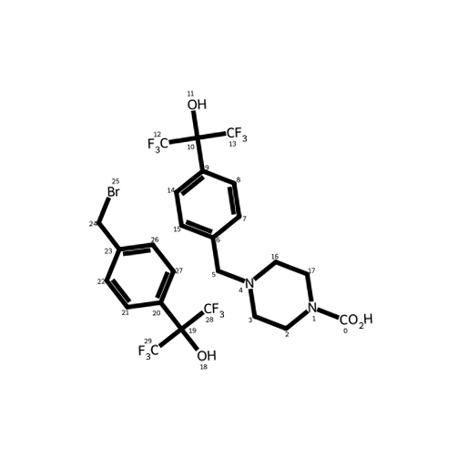 O=C(O)N1CCN(Cc2ccc(C(O)(C(F)(F)F)C(F)(F)F)cc2)CC1.OC(c1ccc(CBr)cc1)(C(F)(F)F)C(F)(F)F